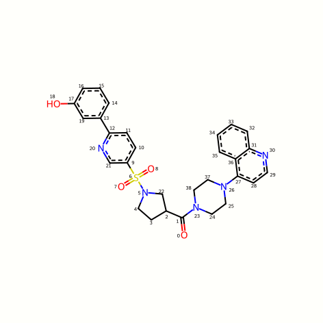 O=C(C1CCN(S(=O)(=O)c2ccc(-c3cccc(O)c3)nc2)C1)N1CCN(c2ccnc3ccccc23)CC1